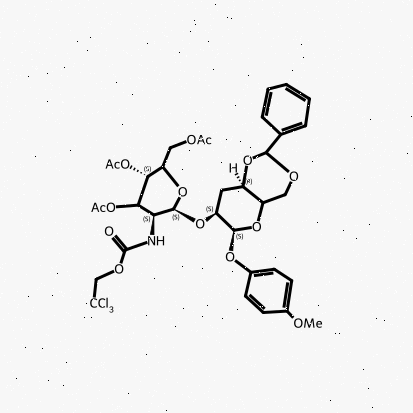 COc1ccc(O[C@@H]2OC3COC(c4ccccc4)O[C@@H]3C[C@@H]2O[C@@H]2OC(COC(C)=O)[C@@H](OC(C)=O)C(OC(C)=O)[C@@H]2NC(=O)OCC(Cl)(Cl)Cl)cc1